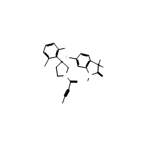 CC#CC(=O)N1CC[C@@](Nc2ccc3c(c2)N(C)C(=O)C3(C)C)(c2c(C)cccc2Cl)C1